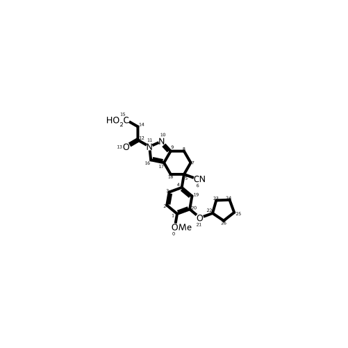 COc1ccc(C2(C#N)CCc3nn(C(=O)CC(=O)O)cc3C2)cc1OC1CCCC1